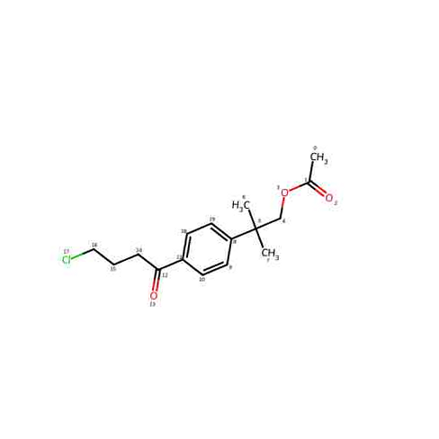 CC(=O)OCC(C)(C)c1ccc(C(=O)CCCCl)cc1